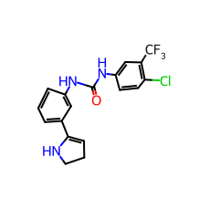 O=C(Nc1cccc(C2=CCCN2)c1)Nc1ccc(Cl)c(C(F)(F)F)c1